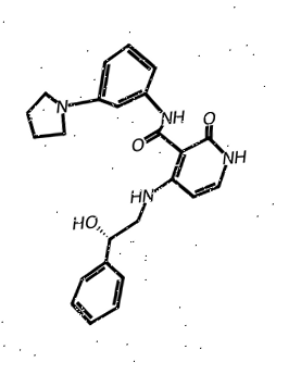 O=C(Nc1cccc(N2CCCC2)c1)c1c(NC[C@@H](O)c2ccccc2)cc[nH]c1=O